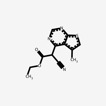 CCOC(=O)C(C#N)c1ncnc2scc(C)c12